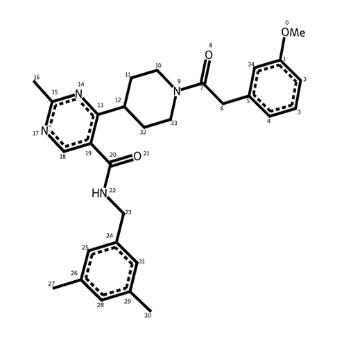 COc1cccc(CC(=O)N2CCC(c3nc(C)ncc3C(=O)NCc3cc(C)cc(C)c3)CC2)c1